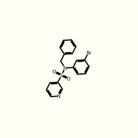 O=S(=O)(c1cccnc1)N(Cc1ccccc1)c1cccc(Br)c1